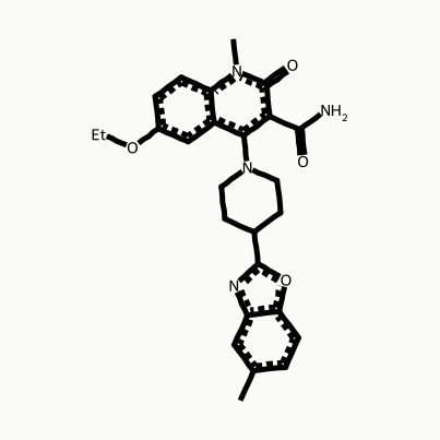 CCOc1ccc2c(c1)c(N1CCC(c3nc4cc(C)ccc4o3)CC1)c(C(N)=O)c(=O)n2C